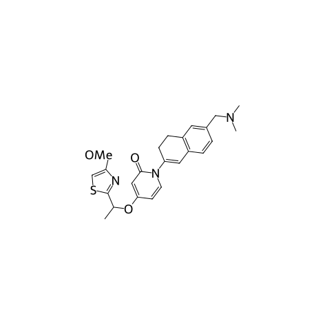 COc1csc(C(C)Oc2ccn(C3=Cc4ccc(CN(C)C)cc4CC3)c(=O)c2)n1